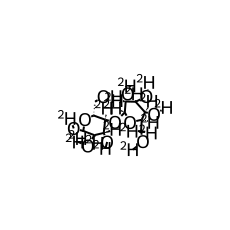 [2H]OC1([2H])O[C@H](CO)[C@@]([2H])(O[C@]2([2H])O[C@]([2H])(C([2H])([2H])O[2H])[C@]([2H])(O[2H])[C@]([2H])(O[2H])[C@@]2([2H])O[2H])[C@]([2H])(O[2H])[C@@]1([2H])O[2H]